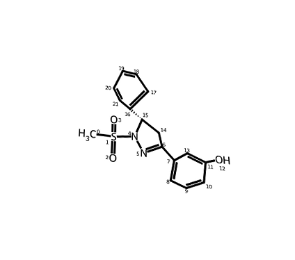 CS(=O)(=O)N1N=C(c2cccc(O)c2)C[C@H]1c1ccccc1